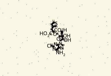 C#C[C@@]1(O)[C@@H](COC(Cc2ccsc2)(C(=O)O)C(=O)O)O[C@@H](n2cnc3c(N)nc(Cl)nc32)[C@@H]1O